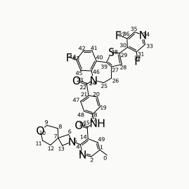 Cc1cnc(N2CC3(CCOCC3)C2)c(C(=O)Nc2ccc(C(=O)N3CCc4cc(-c5c(F)cncc5F)sc4-c4ccc(F)cc43)cc2)c1